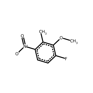 COc1c(F)ccc([N+](=O)[O-])c1C